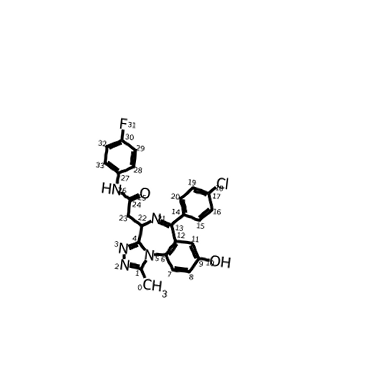 Cc1nnc2n1-c1ccc(O)cc1C(c1ccc(Cl)cc1)=NC2CC(=O)Nc1ccc(F)cc1